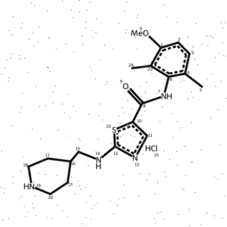 COc1ccc(C)c(NC(=O)c2cnc(NCC3CCNCC3)s2)c1C.Cl